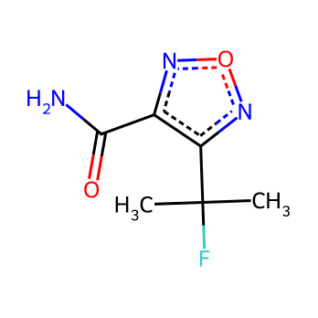 CC(C)(F)c1nonc1C(N)=O